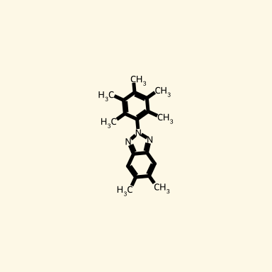 Cc1cc2nn(-c3c(C)c(C)c(C)c(C)c3C)nc2cc1C